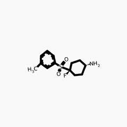 Cc1cccc(S(=O)(=O)[C@]2(F)CC[C@H](N)CC2)c1